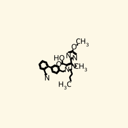 CCCCC1N(C)C(c2ncc(OCC)cn2)=C(C(=O)O)N1Cc1ccc(-c2ccccc2C#N)cc1